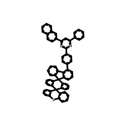 c1ccc(-c2cc(-c3ccc4ccccc4c3)nc(-c3ccc(-c4cccc5c4-c4ccccc4C54c5ccccc5C5(c6ccccc6Sc6ccccc65)c5ccccc54)cc3)n2)cc1